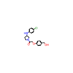 O=C(COc1ccc(CO)cc1)N1CCC(Nc2ccc(Cl)cc2)C1